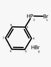 Br.BrPc1ccccc1